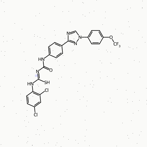 O=C(/N=C(\S)Nc1ccc(Cl)cc1Cl)Nc1ccc(-c2ncn(-c3ccc(OC(F)(F)F)cc3)n2)cc1